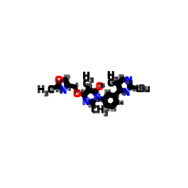 Cc1nc(COc2nc(C)n(-c3cccc(-c4nc(C(C)(C)C)ncc4C)c3)c(=O)c2C)co1